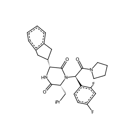 CC(C)C[C@@H]1C(=O)N[C@H](C2Cc3ccccc3C2)C(=O)N1[C@@H](C(=O)N1CCCC1)c1ccc(F)cc1F